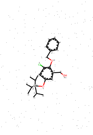 CC(C)[Si](Oc1cc(Cl)c(OCc2ccccc2)c(CO)c1)(C(C)C)C(C)C